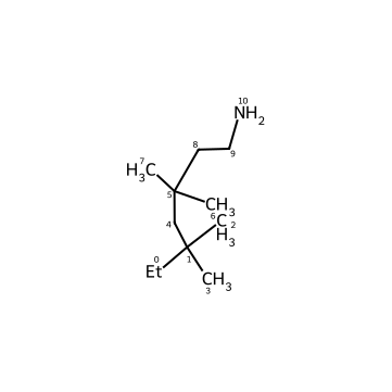 CCC(C)(C)CC(C)(C)CCN